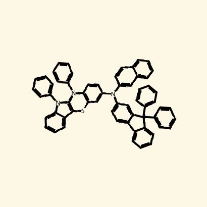 c1ccc(N2c3ccc(N(c4ccc5c(c4)C(c4ccccc4)(c4ccccc4)c4ccccc4-5)c4ccc5ccccc5c4)cc3Sc3c2n(-c2ccccc2)c2ccccc32)cc1